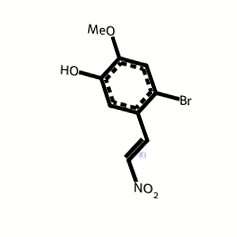 COc1cc(Br)c(/C=C/[N+](=O)[O-])cc1O